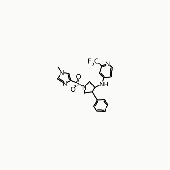 Cn1cnc(S(=O)(=O)N2CC(Nc3ccnc(C(F)(F)F)c3)C(c3ccccc3)C2)c1